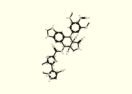 COc1cc([C@@H]2c3cc4c(cc3[C@H](OC(=O)c3nc(-c5c(Cl)cnn5C)c(C)s3)[C@H]3COC(=O)[C@@H]23)OCO4)cc(OC)c1N=O